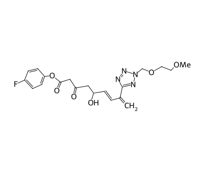 C=C(C=CC(O)CC(=O)CC(=O)Oc1ccc(F)cc1)c1nnn(COCCOC)n1